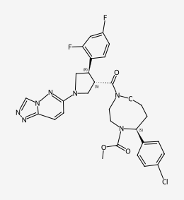 COC(=O)N1CCN(C(=O)[C@@H]2CN(c3ccc4nncn4n3)C[C@H]2c2ccc(F)cc2F)CCC[C@H]1c1ccc(Cl)cc1